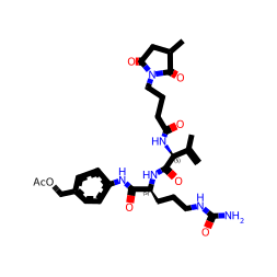 C=C(C)[C@H](NC(=O)CCCN1C(=O)CC(C)C1=O)C(=O)N[C@@H](CCCNC(N)=O)C(=O)Nc1ccc(COC(C)=O)cc1